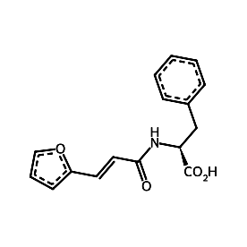 O=C(C=Cc1ccco1)N[C@@H](Cc1ccccc1)C(=O)O